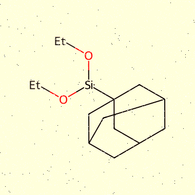 CCO[Si](OCC)C12CC3CC(CC(C3)C1)C2